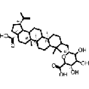 C=C(C)[C@@H]1CC[C@]2(C(=O)O)CC[C@]3(C)C(CCC4[C@@]5(C)CCC(C[C@@H]6OC(C(=O)O)[C@@H](O)C(O)C6O)C(C)(C)C5CC[C@]43C)C12